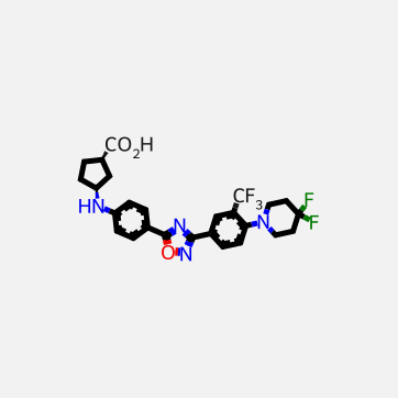 O=C(O)[C@@H]1CC[C@H](Nc2ccc(-c3nc(-c4ccc(N5CCC(F)(F)CC5)c(C(F)(F)F)c4)no3)cc2)C1